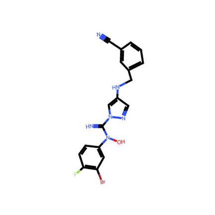 N#Cc1cccc(CNc2cnn(C(=N)N(O)c3ccc(F)c(Br)c3)c2)c1